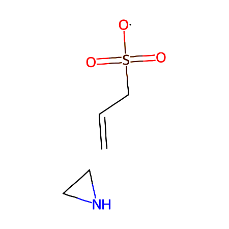 C1CN1.C=CCS([O])(=O)=O